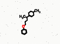 CC1CC=C(C(C)CCCOc2ccccc2)CC1